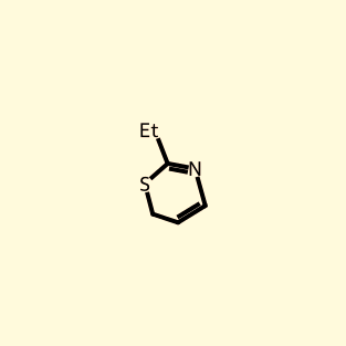 CCC1=NC=CCS1